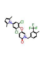 Cc1ccc(Cn2cc(Oc3c(Cl)cc(-n4c(C)ccc4C)cc3Cl)ccc2=O)cc1C(F)(F)F